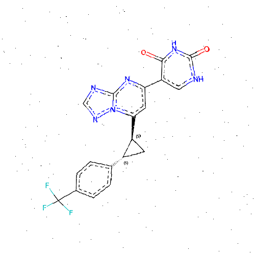 O=c1[nH]cc(-c2cc([C@H]3C[C@@H]3c3ccc(C(F)(F)F)cc3)n3ncnc3n2)c(=O)[nH]1